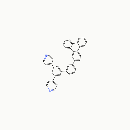 C1=C(c2cccc(-c3ccc4c5ccccc5c5ccccc5c4c3)c2)C=C(c2ccncc2)CC1c1ccncc1